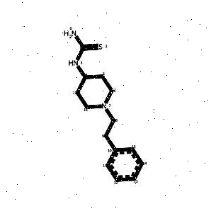 NC(=S)NC1CCN(CCc2ccccc2)CC1